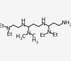 CCN(CC)CCNC(CCNC(CCN)N(CC)CC)N(C)C